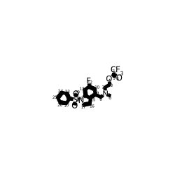 CN(CCOC(=O)C(F)(F)F)Cc1cc(F)cc2c1ccn2S(=O)(=O)c1ccccc1